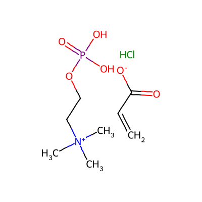 C=CC(=O)[O-].C[N+](C)(C)CCOP(=O)(O)O.Cl